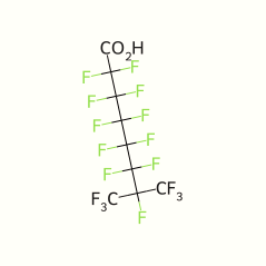 O=C(O)C(F)(F)C(F)(F)C(F)(F)C(F)(F)C(F)(F)C(F)(C(F)(F)F)C(F)(F)F